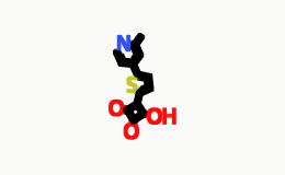 Cc1cc(-c2ccc(C3C(=O)C(=O)C3O)s2)ccn1